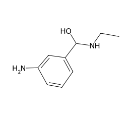 CCNC(O)c1cccc(N)c1